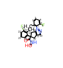 Cc1cccc(F)c1-n1ncc2c1CC(C(=O)NO)(c1cccc(F)c1C)C2